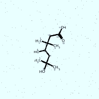 CC(C)(O)CC(O)C(C)(C)CC(=O)O